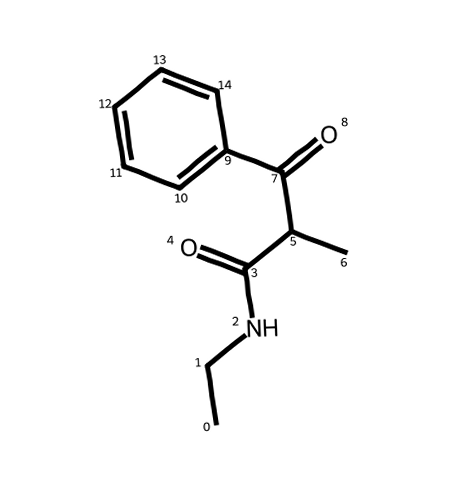 CCNC(=O)C(C)C(=O)c1ccccc1